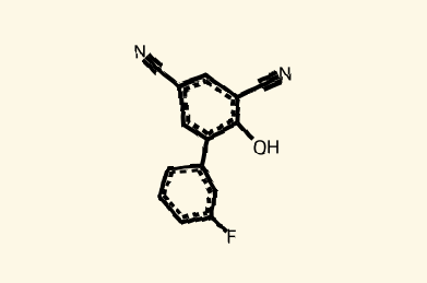 N#Cc1cc(C#N)c(O)c(-c2cccc(F)c2)c1